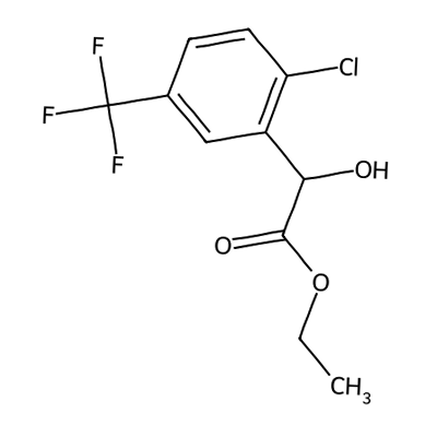 CCOC(=O)C(O)c1cc(C(F)(F)F)ccc1Cl